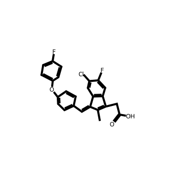 CC1=C(CC(=O)O)c2cc(F)c(Cl)cc2/C1=C\c1ccc(Oc2ccc(F)cc2)cc1